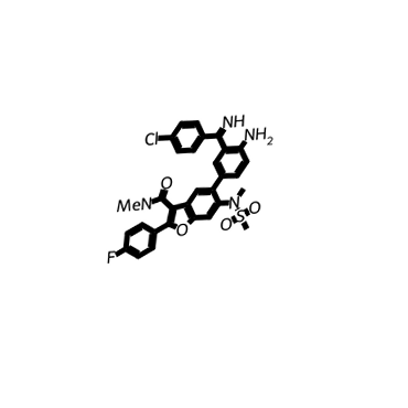 CNC(=O)c1c(-c2ccc(F)cc2)oc2cc(N(C)S(C)(=O)=O)c(-c3ccc(N)c(C(=N)c4ccc(Cl)cc4)c3)cc12